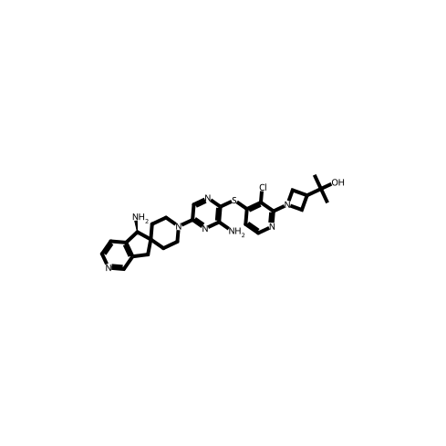 CC(C)(O)C1CN(c2nccc(Sc3ncc(N4CCC5(CC4)Cc4cnccc4[C@H]5N)nc3N)c2Cl)C1